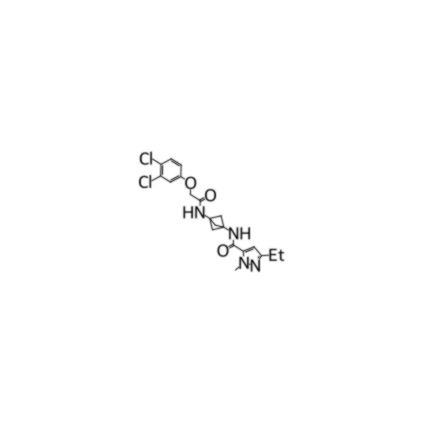 CCc1cc(C(=O)NC23CC(NC(=O)COc4ccc(Cl)c(Cl)c4)(C2)C3)n(C)n1